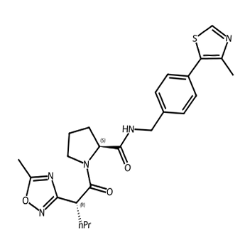 CCC[C@@H](C(=O)N1CCC[C@H]1C(=O)NCc1ccc(-c2scnc2C)cc1)c1noc(C)n1